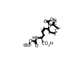 CC(C)(C)OC(=O)N[C@@H](C/C=C\C1CCCCc2noc(=O)n21)C(=O)O